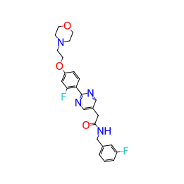 O=C(Cc1cnc(-c2ccc(OCCN3CCOCC3)cc2F)nc1)NCc1cccc(F)c1